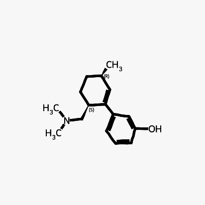 C[C@H]1C=C(c2cccc(O)c2)[C@@H](CN(C)C)CC1